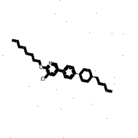 CCCCCCCCOc1ncc(-c2ccc([C@H]3CC[C@H](CCCCC)CC3)cc2)cc1Cl